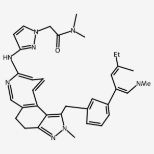 CC/C(C)=C/C(=C\NC)c1cccc(Cc2c3c(nn2C)CCC2=C3/C=C/C=C(Nc3ccn(CC(=O)N(C)C)n3)/N=C\2)c1